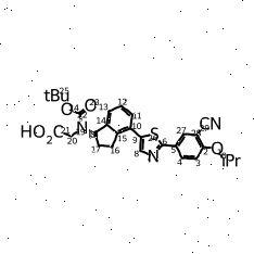 CC(C)Oc1ccc(-c2ncc(-c3cccc4c3CC[C@@H]4N(CC(=O)O)C(=O)OC(C)(C)C)s2)cc1C#N